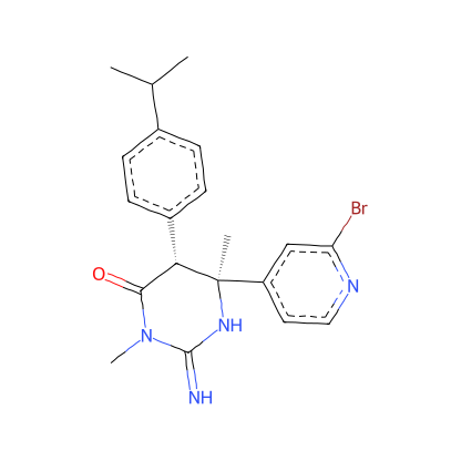 CC(C)c1ccc([C@H]2C(=O)N(C)C(=N)N[C@]2(C)c2ccnc(Br)c2)cc1